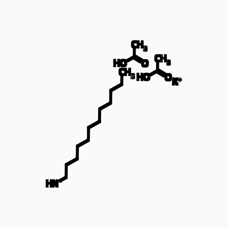 CC(=O)O.CC(=O)O.CCCCCCCCCCCC[NH-].[K+]